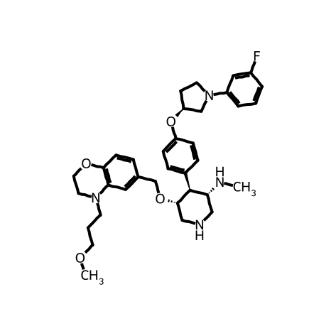 CN[C@@H]1CNC[C@H](OCc2ccc3c(c2)N(CCCOC)CCO3)[C@H]1c1ccc(O[C@H]2CCN(c3cccc(F)c3)C2)cc1